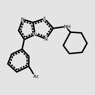 CC(=O)c1cccc(-c2cnc3sc(NC4CCCCC4)nn23)c1